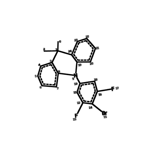 CC1(C)c2ccccc2N(c2cc(F)c(Br)c(F)c2)c2ccccc21